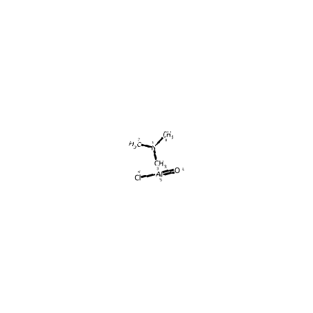 CN(C)C.[O]=[Al][Cl]